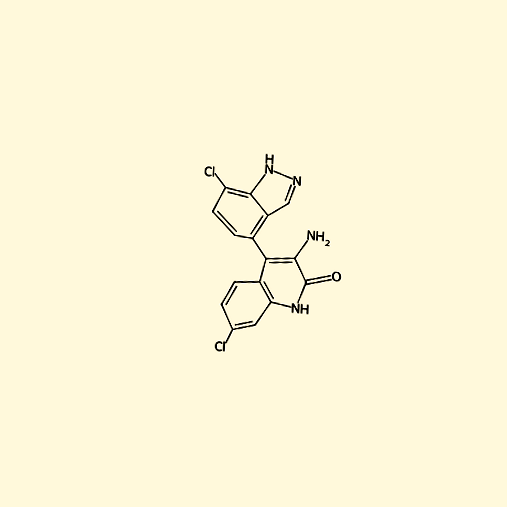 Nc1c(-c2ccc(Cl)c3[nH]ncc23)c2ccc(Cl)cc2[nH]c1=O